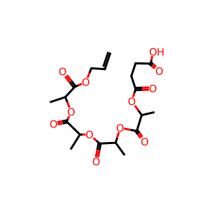 C=CCOC(=O)C(C)OC(=O)C(C)OC(=O)C(C)OC(=O)C(C)OC(=O)CCC(=O)O